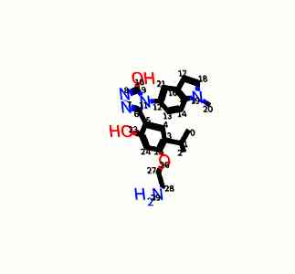 CC(C)c1cc(-c2nnc(O)n2-c2ccc3c(ccn3C)c2)c(O)cc1OCCN